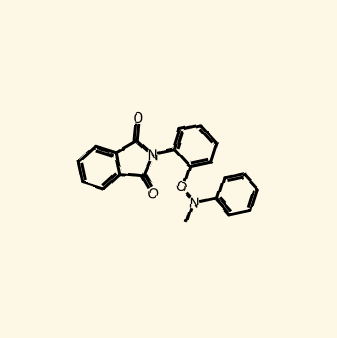 CN(Oc1ccccc1N1C(=O)c2ccccc2C1=O)c1ccccc1